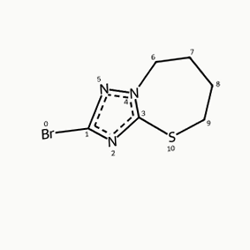 Brc1nc2n(n1)CCCCS2